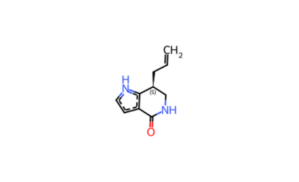 C=CC[C@H]1CNC(=O)c2cc[nH]c21